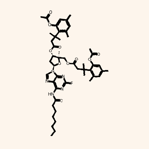 CCCCCCCC(=O)Nc1nc(F)nc2c1ncn2[C@H]1C[C@H](OC(=O)CC(C)(C)c2c(C)cc(C)cc2OC(C)=O)[C@@](C)(COC(=O)CC(C)(C)c2c(C)cc(C)cc2OC(C)=O)O1